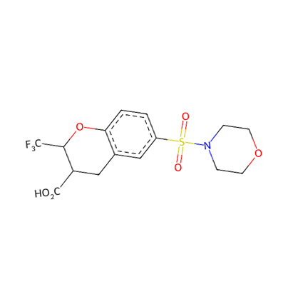 O=C(O)C1Cc2cc(S(=O)(=O)N3CCOCC3)ccc2OC1C(F)(F)F